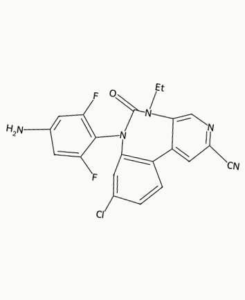 CCN1C(=O)N(c2c(F)cc(N)cc2F)c2cc(Cl)ccc2-c2cc(C#N)ncc21